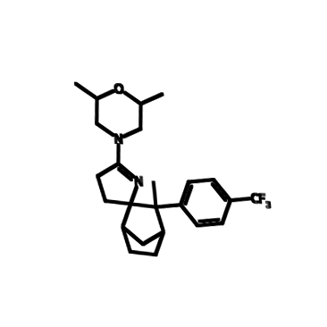 CC1CN(C2=NC3(CC2)C2CCC(C2)C3(C)c2ccc(C(F)(F)F)cc2)CC(C)O1